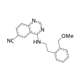 COCc1ccccc1CCNc1ncnc2ccc(C#N)cc12